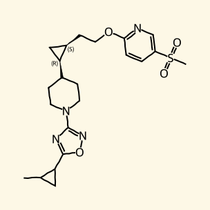 CC1CC1c1nc(N2CCC([C@H]3C[C@H]3CCOc3ccc(S(C)(=O)=O)cn3)CC2)no1